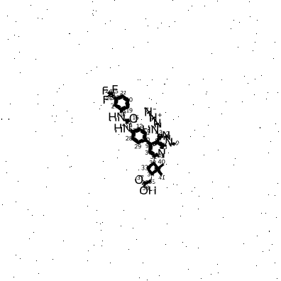 Cn1nc(NN=[N+]=[N-])c2c(-c3ccc(NC(=O)Nc4cccc(C(F)(F)F)c4)cc3)cc([C@H]3C[C@@H](CC(=O)O)C3(C)C)nc21